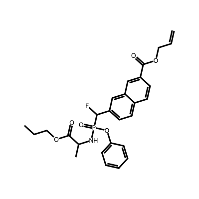 C=CCOC(=O)c1ccc2ccc(C(F)P(=O)(NC(C)C(=O)OCCC)Oc3ccccc3)cc2c1